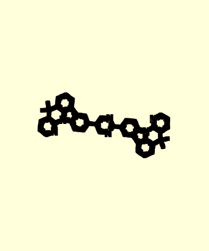 CC1(C)c2cccnc2-n2c3ccc(-c4cnc(-c5ccc6c(c5)c5cccc7c5n6-c5ncccc5C7(C)C)nc4)cc3c3cccc1c32